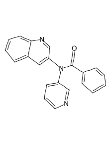 O=C(c1ccccc1)N(c1cccnc1)c1cnc2ccccc2c1